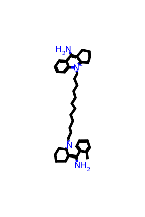 Cc1ccccc1/C(N)=C1/CCCC/C1=N\CCCCCCCCCCCC[n+]1c2c(c(N)c3ccccc31)CCCC2